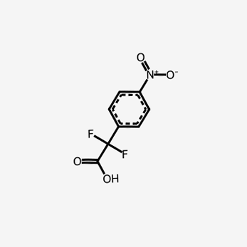 O=C(O)C(F)(F)c1ccc([N+](=O)[O-])cc1